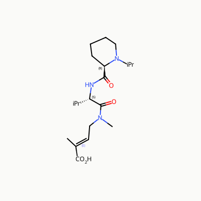 C/C(=C\CN(C)C(=O)[C@@H](NC(=O)[C@H]1CCCCN1C(C)C)C(C)C)C(=O)O